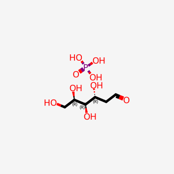 O=CC[C@@H](O)[C@@H](O)[C@H](O)CO.O=P(O)(O)O